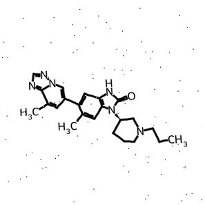 CCCN1CCC[C@@H](n2c(=O)[nH]c3cc(-c4cc(C)c5ncnn5c4)c(C)cc32)C1